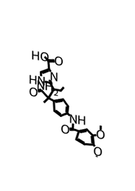 CCC(c1nc(C(=O)O)c[nH]1)C(C)(C(N)=O)c1ccc(NC(=O)c2ccc(OC)c(OC)c2)cc1